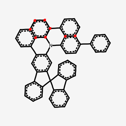 c1ccc(-c2ccc(N(c3ccccc3-c3ccccc3)c3cc4c(cc3-c3cccc5c3CCCC5)-c3ccccc3C43c4ccccc4-c4ccccc43)cc2)cc1